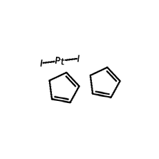 C1=CCC=C1.C1=CCC=C1.[I][Pt][I]